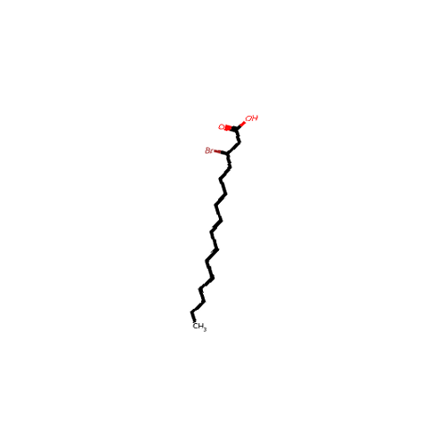 CCCCCCCCCCCCCC(Br)CC(=O)O